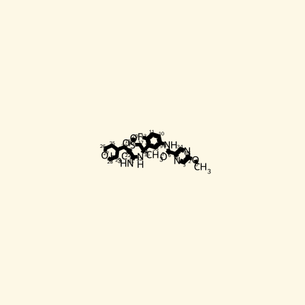 COc1cnc(C(=O)Nc2ccc(F)c([C@]3(C)CS(=O)(=O)C(C)(CC4CCOCC4)C(=N)N3)c2)cn1